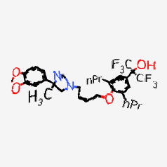 CCCc1cc(C(O)(C(F)(F)F)C(F)(F)F)cc(CCC)c1OC/C=C\CN1C=NC(C)(c2ccc3c(c2)OCO3)C1